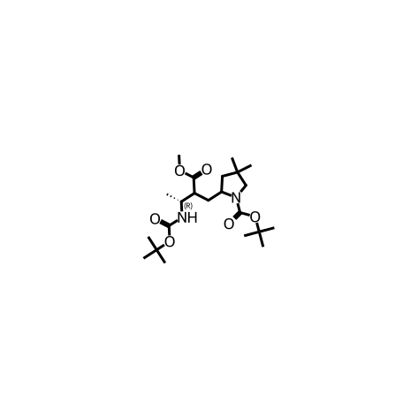 COC(=O)C(CC1CC(C)(C)CN1C(=O)OC(C)(C)C)[C@@H](C)NC(=O)OC(C)(C)C